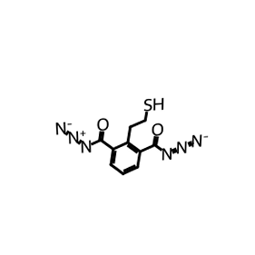 [N-]=[N+]=NC(=O)c1cccc(C(=O)N=[N+]=[N-])c1CCS